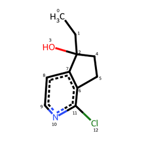 CCC1(O)CCc2c1ccnc2Cl